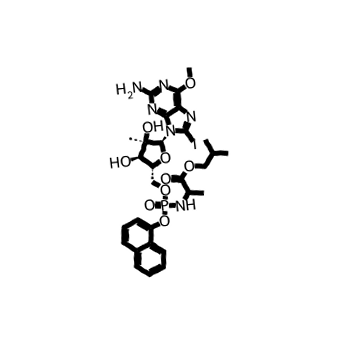 COc1nc(N)nc2c1nc(I)n2[C@@H]1O[C@H](COP(=O)(NC(C)C(=O)OCC(C)C)Oc2cccc3ccccc23)[C@@H](O)[C@@]1(C)O